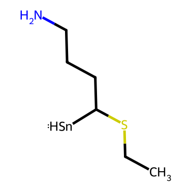 CCS[CH]([SnH])CCCN